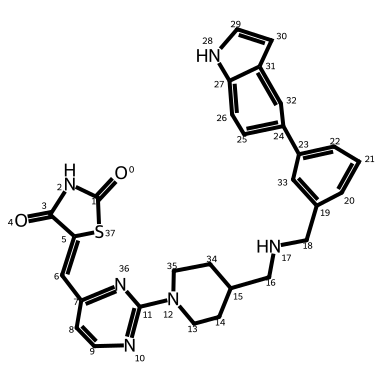 O=C1NC(=O)C(=Cc2ccnc(N3CCC(CNCc4cccc(-c5ccc6[nH]ccc6c5)c4)CC3)n2)S1